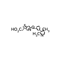 Cc1ccnc(C)c1-c1cccc(COc2cc3c(cn2)C(CC(=O)O)CS3)c1